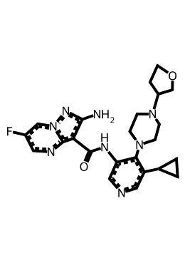 Nc1nn2cc(F)cnc2c1C(=O)Nc1cncc(C2CC2)c1N1CCN(C2CCOC2)CC1